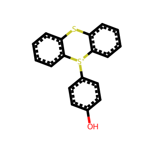 Oc1ccc([S+]2c3ccccc3Sc3ccccc32)cc1